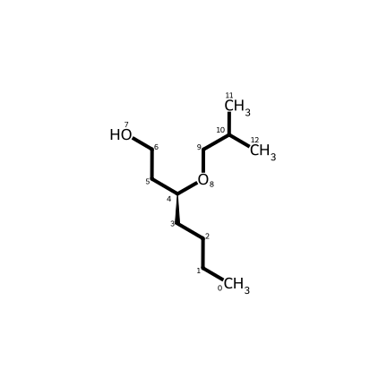 CCCC[C@@H](CCO)OCC(C)C